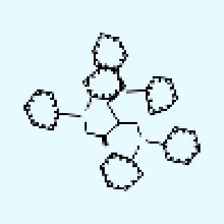 C=C(CP(c1ccccc1)c1ccccc1)[C](CP(c1ccccc1)c1ccccc1)CP(c1ccccc1)c1ccccc1